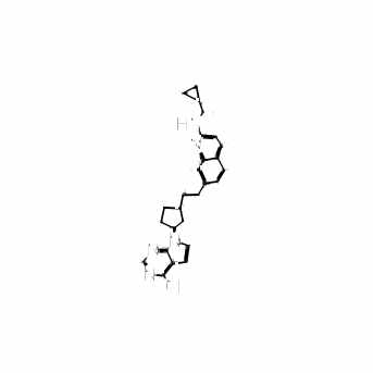 Clc1ncnc2c1ccn2C1CCC(CCc2ccc3ccc(NCC4CC4)nc3c2)C1